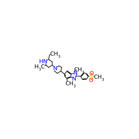 CCC1CC(N2CCC(c3cc(C)c4nc(-c5ccc(S(C)(=O)=O)cc5)n(C)c4c3)CC2)CC(C)N1